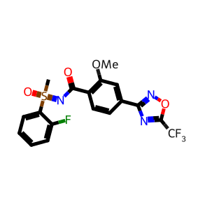 COc1cc(-c2noc(C(F)(F)F)n2)ccc1C(=O)N=S(C)(=O)c1ccccc1F